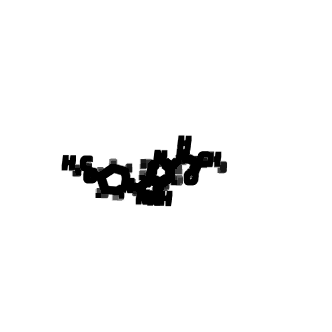 COC1CCN(c2n[nH]c3cc(NC(C)=O)ncc23)CC1